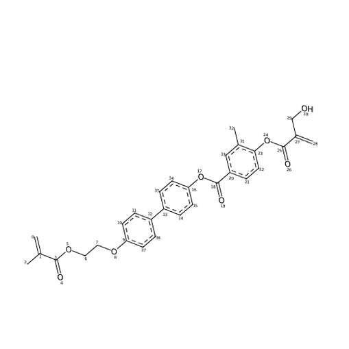 C=C(C)C(=O)OCCOc1ccc(-c2ccc(OC(=O)c3ccc(OC(=O)C(=C)CO)c(C)c3)cc2)cc1